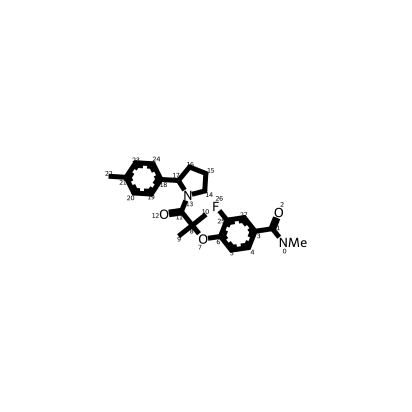 CNC(=O)c1ccc(OC(C)(C)C(=O)N2CCCC2c2ccc(C)cc2)c(F)c1